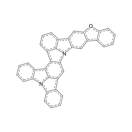 c1ccc2c(c1)oc1cc3c4cccc5c6c7c8ccccc8n8c9ccccc9c(cc6n(c3cc12)c45)c78